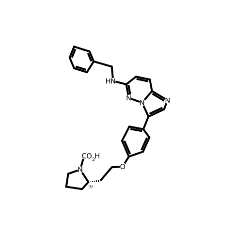 O=C(O)N1CCC[C@H]1CCOc1ccc(-c2cnc3ccc(NCc4ccccc4)nn23)cc1